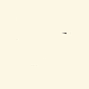 CC(C)[C@@H]1CC[C@@H](C)C2C(C(=O)O)C21